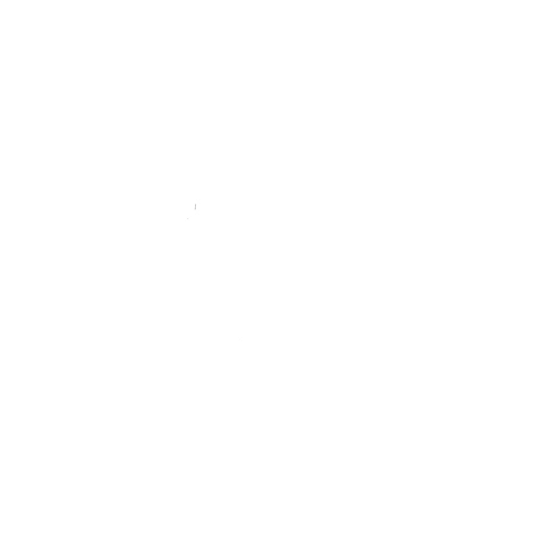 [CH2]c1ccccc1CCF